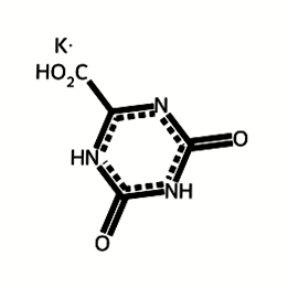 O=C(O)c1nc(=O)[nH]c(=O)[nH]1.[K]